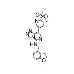 Cc1cc(-c2cnc(NCc3cccc4c3CCO4)n3cnnc23)cnc1S(C)(=O)=O